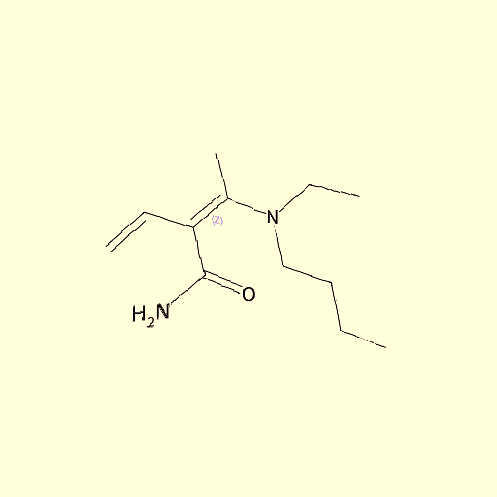 C=C/C(C(N)=O)=C(\C)N(CC)CCCC